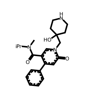 CC(C)N(C)C(=O)c1cn(CC2(O)CCNCC2)c(=O)cc1-c1ccccc1